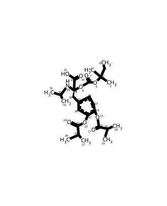 CCC(C)(C)OC(=O)O[C@](Cc1ccc(OC(=O)C(C)C)c(OC(=O)C(C)C)c1)(NC(C)C)C(=O)O